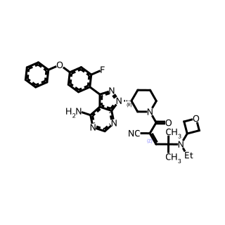 CCN(C1COC1)C(C)(C)/C=C(/C#N)C(=O)N1CCC[C@@H](n2nc(-c3ccc(Oc4ccccc4)cc3F)c3c(N)ncnc32)C1